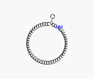 c1ccc(C2CC3(CCCCCCCCCCCCCCCCCCCCCCCCCCCCCCCCCCCCCCCCCCCCCCCCNCC3)C2)cc1